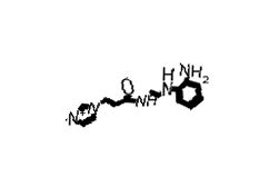 Nc1ccccc1NCCNC(=O)CCN1C=C[N+]=C1